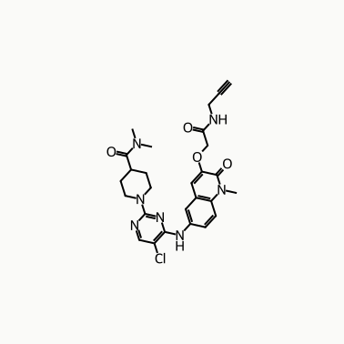 C#CCNC(=O)COc1cc2cc(Nc3nc(N4CCC(C(=O)N(C)C)CC4)ncc3Cl)ccc2n(C)c1=O